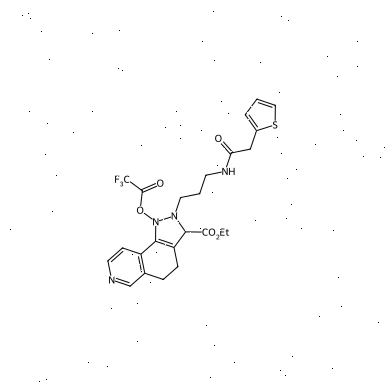 CCOC(=O)C1C2=C(c3ccncc3CC2)N(OC(=O)C(F)(F)F)N1CCCNC(=O)Cc1cccs1